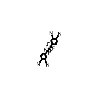 N#Cc1ccc(C(F)(F)C(F)(F)C(F)(F)c2ccc(C#N)c(C#N)c2)cc1C#N